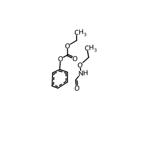 CCOC(=O)Oc1ccccc1.CCONC=O